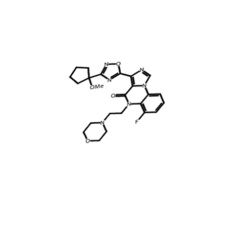 COC1(c2noc(-c3ncn4c3c(=O)n(CCN3CCOCC3)c3c(F)cccc34)n2)CCCC1